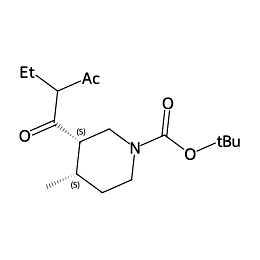 CCC(C(C)=O)C(=O)[C@@H]1CN(C(=O)OC(C)(C)C)CC[C@@H]1C